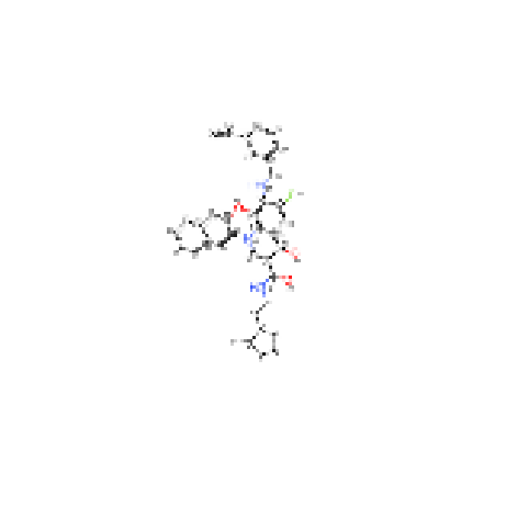 C=C1CCCC1CCNC(=O)c1cn2c3c(c(NCc4cccc(NC)c4)c(F)cc3c1=O)Oc1cc3ccccc3cc1-2